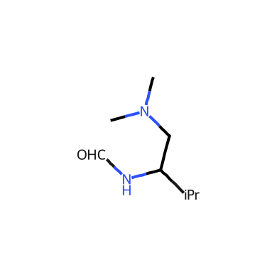 CC(C)C(CN(C)C)NC=O